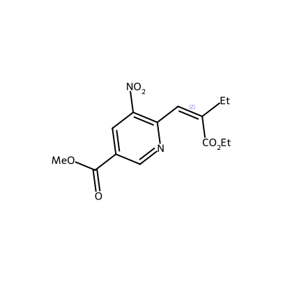 CCOC(=O)/C(=C\c1ncc(C(=O)OC)cc1[N+](=O)[O-])CC